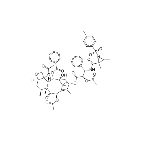 CC(=O)O[C@H]1C(=O)[C@@]2(C)[C@H]([C@H](OC(=O)c3ccccc3)[C@]3(O)C[C@H](OC(=O)[C@H](OC(C)=O)[C@@H](NC(=O)C4(C)C(C)N4S(=O)(=O)c4ccc(C)cc4)c4ccccc4)C(C)=C1C3(C)C)[C@]1(OC(C)=O)CO[C@@H]1C[C@@H]2C